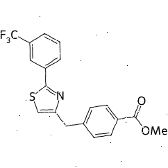 COC(=O)c1ccc(Cc2csc(-c3cccc(C(F)(F)F)c3)n2)cc1